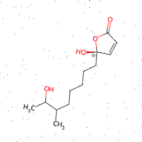 CC(O)C(C)CCCCC[C@@]1(O)C=CC(=O)O1